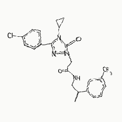 CC(CNC(=O)Cn1nc(-c2ccc(Cl)cc2)n(C2CC2)c1=O)c1cccc(C(F)(F)F)c1